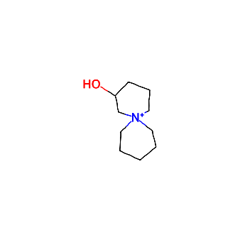 OC1CCC[N+]2(CCCCC2)C1